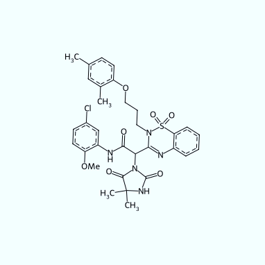 COc1ccc(Cl)cc1NC(=O)C(C1=Nc2ccccc2S(=O)(=O)N1CCCOc1ccc(C)cc1C)N1C(=O)NC(C)(C)C1=O